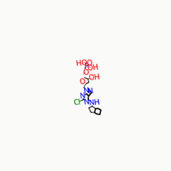 O=P(O)(O)COC[C@H]1O[C@H](Cn2ncc3c(N[C@@H]4CCc5ccccc54)nc(Cl)nc32)C[C@@H]1O